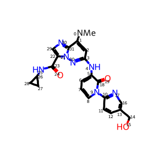 CNc1cc(Nc2cccn(-c3ccc(CO)cn3)c2=O)nn2c(C(=O)NC3CC3)cnc12